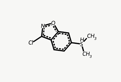 C[SH](C)c1ccc2c(Cl)noc2c1